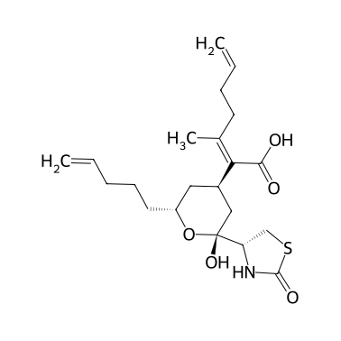 C=CCCC[C@@H]1C[C@@H](/C(C(=O)O)=C(\C)CCC=C)C[C@](O)([C@@H]2CSC(=O)N2)O1